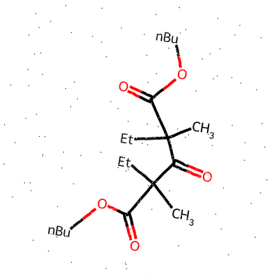 CCCCOC(=O)C(C)(CC)C(=O)C(C)(CC)C(=O)OCCCC